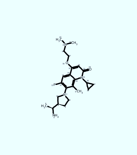 Cc1c(N2CC[C@@H]([C@H](C)N)C2)c(F)cc2c(OCCN(C)C)cc(=O)n(C3CC3)c12